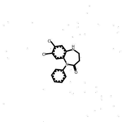 O=C1CCNc2cc(Cl)c(Cl)cc2N1c1ccccc1